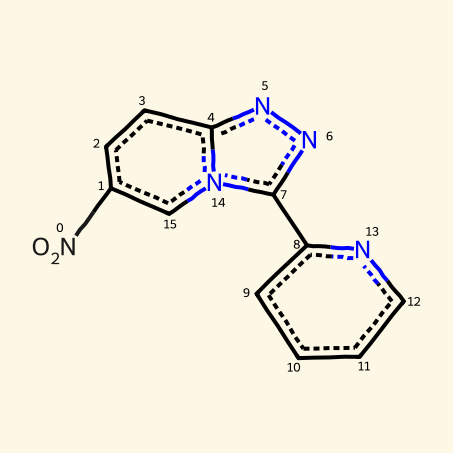 O=[N+]([O-])c1ccc2nnc(-c3ccccn3)n2c1